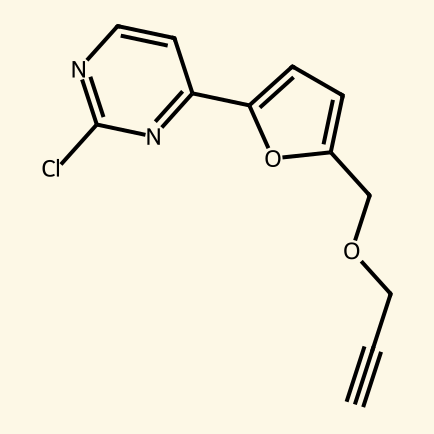 C#CCOCc1ccc(-c2ccnc(Cl)n2)o1